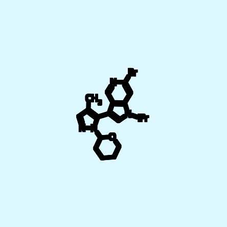 Cc1cnn(C2CCCCO2)c1-c1cn(C(C)C)c2cc(Br)ncc12